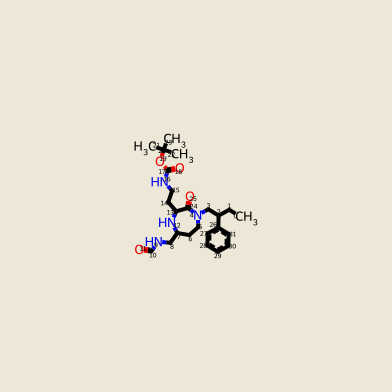 CCC(CN1CCC(CNC=O)NC(CCNC(=O)OC(C)(C)C)C1=O)c1ccccc1